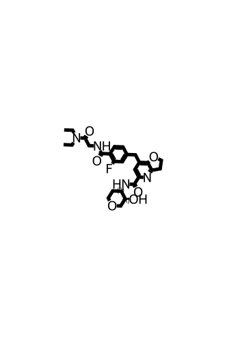 CCN(CC)C(=O)CNC(=O)c1ccc(Cc2cc(C(=O)N[C@H]3CCOC[C@@H]3O)nc3c2OCC3)cc1F